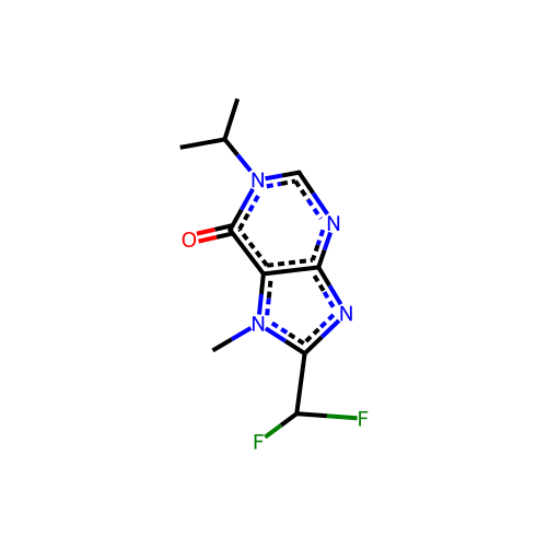 CC(C)n1cnc2nc(C(F)F)n(C)c2c1=O